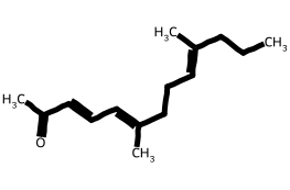 CCCC(C)=CCCC(C)=CC=CC(C)=O